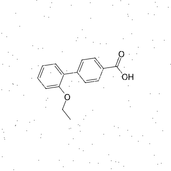 CCOc1ccccc1-c1ccc(C(=O)O)cc1